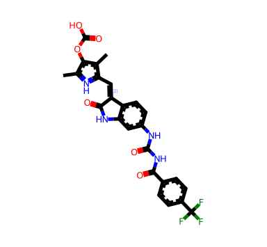 Cc1[nH]c(/C=C2\C(=O)Nc3cc(NC(=O)NC(=O)c4ccc(C(F)(F)F)cc4)ccc32)c(C)c1OC(=O)O